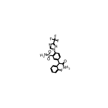 NC(=O)C(c1ccc(-n2cnc(C(F)(F)F)n2)c(S(N)(=O)=O)c1)c1ccccc1F